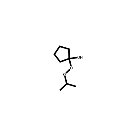 CC(C)OOC1(O)CCCC1